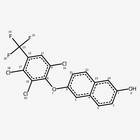 Oc1ccc2cc(Oc3c(Cl)cc(C(F)(F)F)c(Cl)c3Cl)ccc2c1